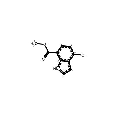 COC(=O)c1ccc(Cl)c2cc[nH]c12